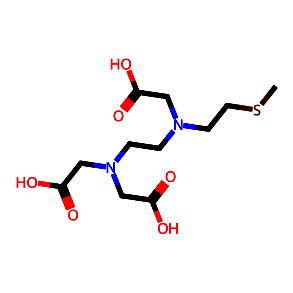 CSCCN(CCN(CC(=O)O)CC(=O)O)CC(=O)O